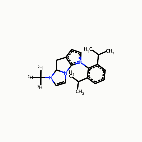 [2H]C([2H])([2H])N1C=CN2c3c(ccn3-c3c(C(C)C)cccc3C(C)C)CC21